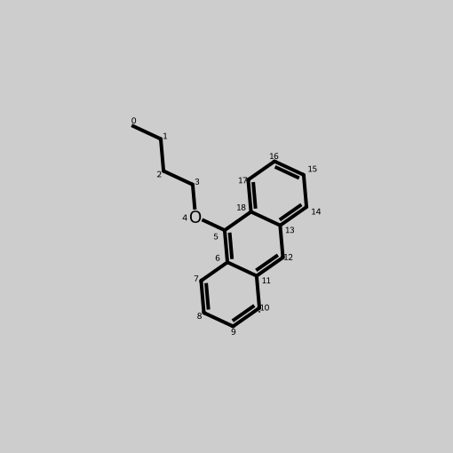 CCCCOc1c2ccc[c]c2cc2ccccc12